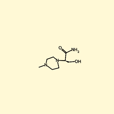 CN1CCN([C@H](CO)C(N)=O)CC1